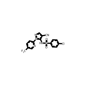 N#Cc1cnn(-c2ccc(C(F)(F)F)cn2)c1NS(=O)(=O)c1ccc(Cl)cc1